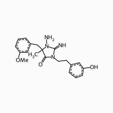 COc1cccc(CC2(C)C(=O)N(CCc3cccc(O)c3)C(=N)N2N)c1